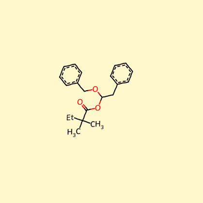 CCC(C)(C)C(=O)OC(Cc1ccccc1)OCc1ccccc1